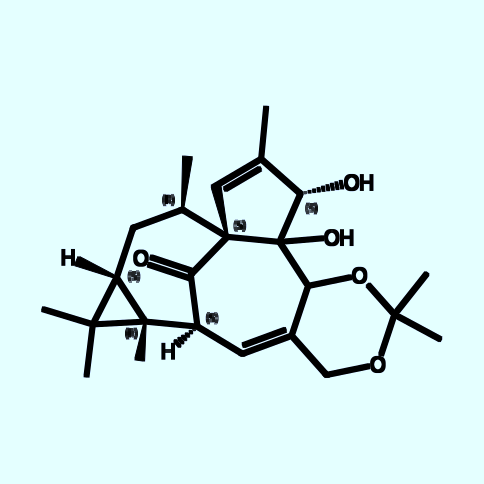 CC1=C[C@]23C(=O)[C@@H](C=C4COC(C)(C)OC4C2(O)[C@H]1O)[C@@]1(C)[C@@H](C[C@H]3C)C1(C)C